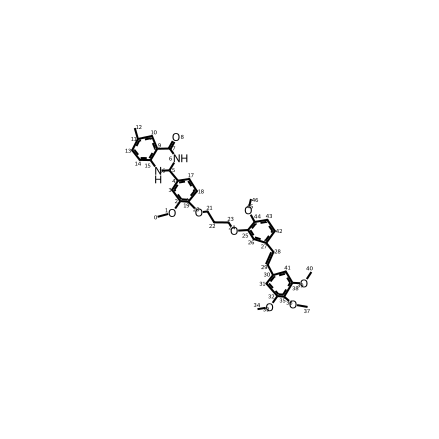 COc1cc(C2NC(=O)c3cc(C)ccc3N2)ccc1OCCCOc1cc(C=Cc2cc(OC)c(OC)c(OC)c2)ccc1OC